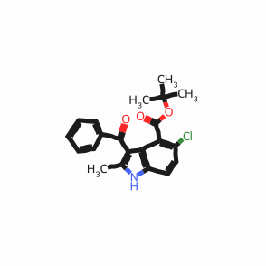 Cc1[nH]c2ccc(Cl)c(C(=O)OC(C)(C)C)c2c1C(=O)c1ccccc1